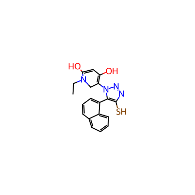 CCN1CC(n2nnc(S)c2-c2cccc3ccccc23)=C(O)C=C1O